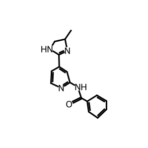 CC1CNC(c2ccnc(NC(=O)c3ccccc3)c2)=N1